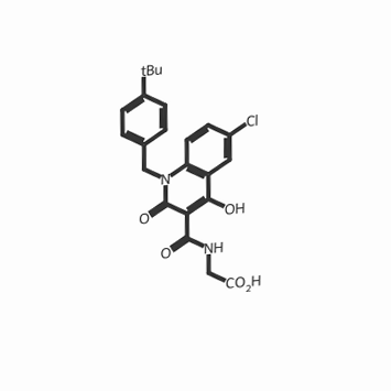 CC(C)(C)c1ccc(Cn2c(=O)c(C(=O)NCC(=O)O)c(O)c3cc(Cl)ccc32)cc1